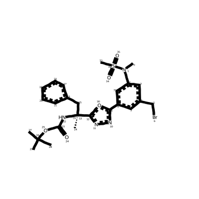 CN(c1cc(CBr)cc(-c2nnc([C@](C)(Cc3ccccc3)NC(=O)OC(C)(C)C)o2)c1)S(C)(=O)=O